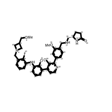 COCC1CN(Cc2cccc(Nc3cccc(-c4ccnc(-c5ccc(CNC[C@@H]6CCC(=O)N6)c(OC)c5)c4Cl)c3Cl)c2F)C1